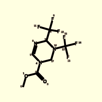 COC(=O)N1C=NC(C(F)(F)F)N(C(F)(F)F)C1